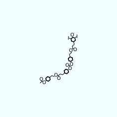 COc1c(I)cc(CCC(=O)OCCc2ccc(OC(=O)Oc3ccc(CCC(=O)OCCc4ccc(OC(C)=O)cc4)cc3)cc2)cc1I